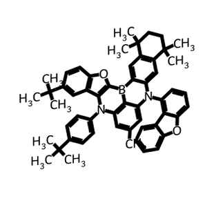 Cc1cc2c3c(c1)N(c1cccc4oc5ccccc5c14)c1cc4c(cc1B3c1oc3ccc(C(C)(C)C)cc3c1N2c1ccc(C(C)(C)C)cc1)C(C)(C)CCC4(C)C